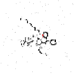 C/C=C\O[C@H]1O[C@H](CO[Si](C)(C)C(C)(C)C)[C@@H](C)[C@H](OCCCCCCCCCC)[C@H]1N=C(c1ccccc1)c1ccccc1